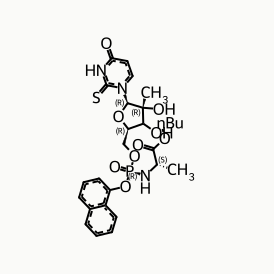 CCCCOC(=O)[C@H](C)N[P@@](=O)(OC[C@H]1O[C@@H](n2ccc(=O)[nH]c2=S)[C@](C)(O)C1O)Oc1cccc2ccccc12